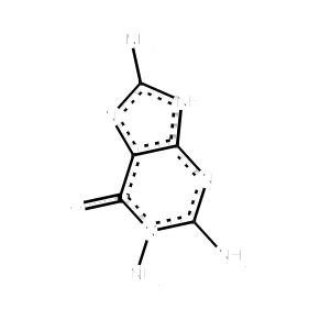 Nc1nc2c(=O)n(N)c(N)nc2[nH]1